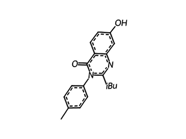 CCC(C)c1nc2cc(O)ccc2c(=O)n1-c1ccc(C)cc1